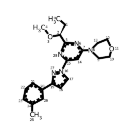 CC[C@H](OC)c1nc(N2CCOCC2)cc(-n2ccc(-c3cccc(C)c3)n2)n1